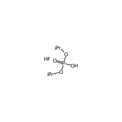 CC(C)OP(=O)(O)OC(C)C.F